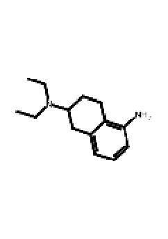 CCN(CC)C1CCc2c(N)cccc2C1